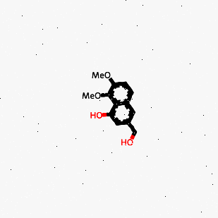 COc1ccc2cc(CO)cc(O)c2c1OC